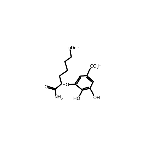 CCCCCCCCCCCCCCCC(N)=O.O=C(O)c1cc(O)c(O)c(O)c1